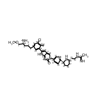 COC[C@H](N)CCCc1cc(Cl)c(F)c(-c2cc3cn(-c4ccc([C@@H]5CCC[C@@H](CCNC(C)=N)N5)nc4)c(=O)nc3[nH]2)c1